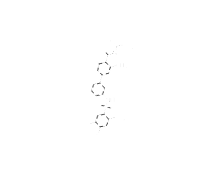 CCOC(=O)C(C)NC(=O)c1c(C)cc(-c2cccc(NS(=O)(=O)c3cc(C)c(Cl)cc3C)c2)cc1C